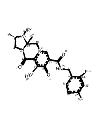 CC(C)N1[C@@H](C)CN2C(=O)c3c(O)c(=O)c(C(=O)NCc4ccc(F)cc4F)cn3CC21C